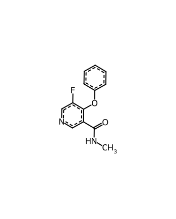 CNC(=O)c1cncc(F)c1Oc1ccccc1